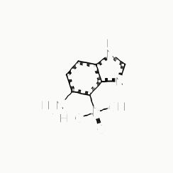 CP(C)(=O)c1c(N)ccc2[nH]cnc12